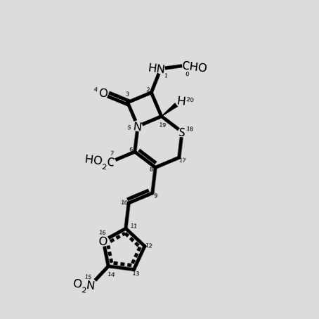 O=CNC1C(=O)N2C(C(=O)O)=C(C=Cc3ccc([N+](=O)[O-])o3)CS[C@@H]12